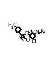 Cc1cc(Oc2snc(-c3ccc(C(F)(F)F)cc3)c2C#N)c(Cl)cc1N=CN(C)C